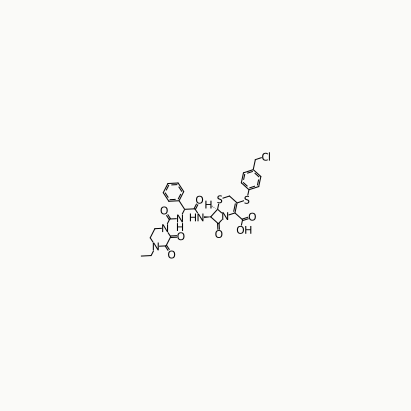 CCN1CCN(C(=O)NC(C(=O)N[C@@H]2C(=O)N3C(C(=O)O)=C(Sc4ccc(CCl)cc4)CS[C@H]23)c2ccccc2)C(=O)C1=O